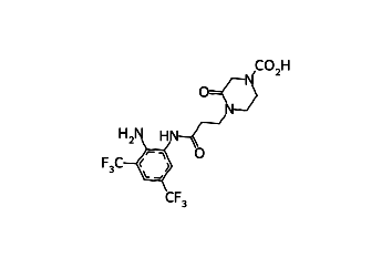 Nc1c(NC(=O)CCN2CCN(C(=O)O)CC2=O)cc(C(F)(F)F)cc1C(F)(F)F